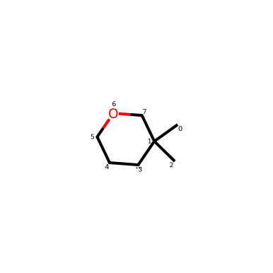 CC1(C)[C]CCOC1